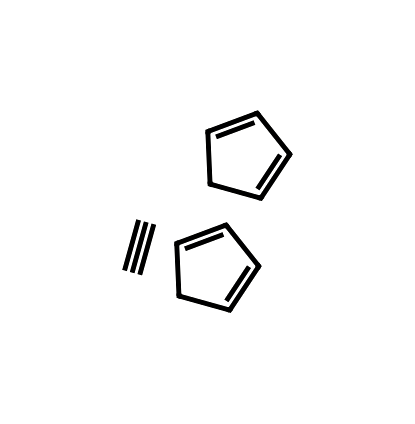 C#C.C1=CCC=C1.C1=CCC=C1